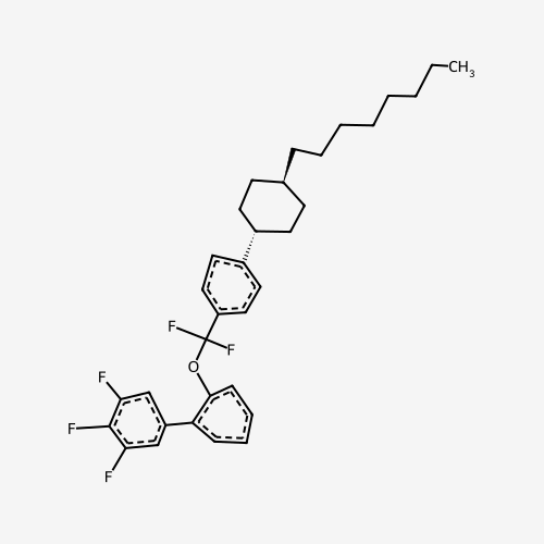 CCCCCCCC[C@H]1CC[C@H](c2ccc(C(F)(F)Oc3ccccc3-c3cc(F)c(F)c(F)c3)cc2)CC1